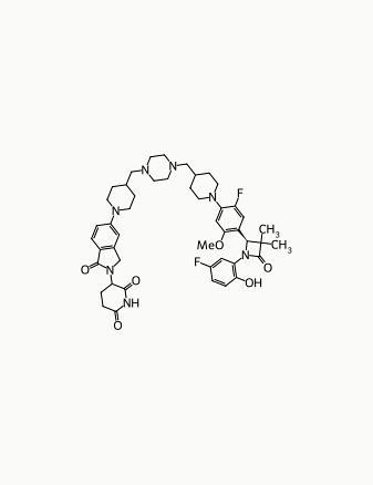 COc1cc(N2CCC(CN3CCN(CC4CCN(c5ccc6c(c5)CN(C5CCC(=O)NC5=O)C6=O)CC4)CC3)CC2)c(F)cc1[C@@H]1N(c2cc(F)ccc2O)C(=O)C1(C)C